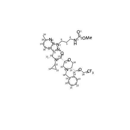 COC(=O)NCCCn1nc([C@@H](C)N(C(=O)[C@H]2CN(Cc3ccccc3)[C@@H](COCC(F)(F)F)CO2)C2CC2)c2ccc(C)nc21